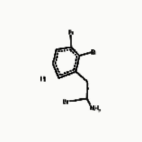 I.NC(Br)Cc1cccc(Br)c1Br